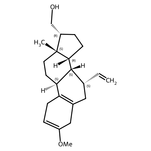 C=C[C@@H]1CC2=C(CC=C(OC)C2)[C@H]2CC[C@]3(C)[C@H](CO)CC[C@@H]3[C@H]12